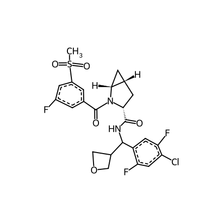 CS(=O)(=O)c1cc(F)cc(C(=O)N2[C@@H](C(=O)NC(c3cc(F)c(Cl)cc3F)C3COC3)C[C@H]3C[C@H]32)c1